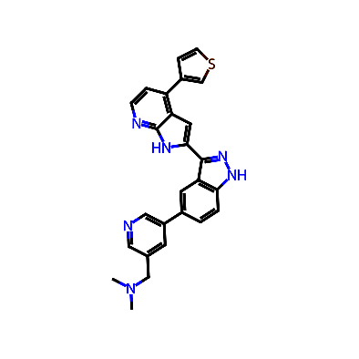 CN(C)Cc1cncc(-c2ccc3[nH]nc(-c4cc5c(-c6ccsc6)ccnc5[nH]4)c3c2)c1